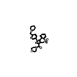 O=C(c1nn(-c2ccc(CN3CCCCC3)nc2)c2c1CS(=O)(=O)c1ccccc1-2)N1CCOCC1